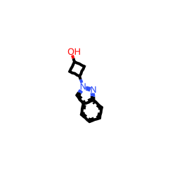 OC1CC(n2cc3ccccc3n2)C1